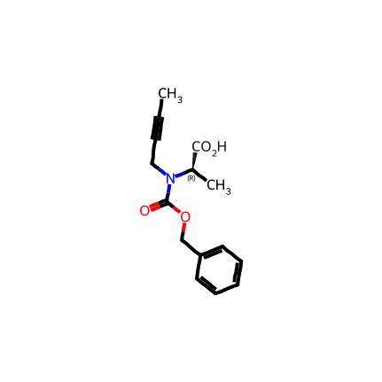 CC#CCN(C(=O)OCc1ccccc1)[C@H](C)C(=O)O